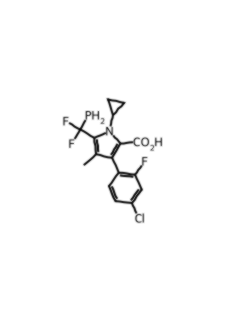 Cc1c(-c2ccc(Cl)cc2F)c(C(=O)O)n(C2CC2)c1C(F)(F)P